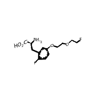 N[C@@H](Cc1cc(OCCOCCF)ccc1I)C(=O)O